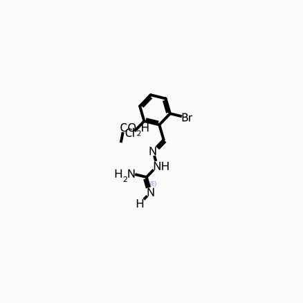 CC(=O)O.[H]/N=C(\N)NN=Cc1c(Cl)cccc1Br